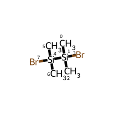 C[Si](C)(Br)[Si](C)(C)Br